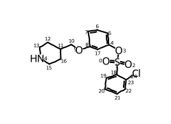 O=S(=O)(Oc1cccc(OCC2CCNCC2)c1)c1ccccc1Cl